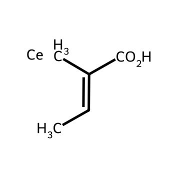 CC=C(C)C(=O)O.[Ce]